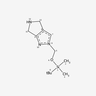 CC(C)(C)[Si](C)(C)OCn1cc2c(n1)CNC2